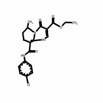 CCOC(=O)C1=CNC2=C(C(=O)Nc3ccc(Cl)cc3)CCC(C)N2C1=O